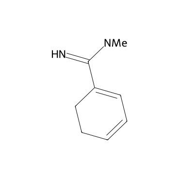 CNC(=N)C1=CC=CCC1